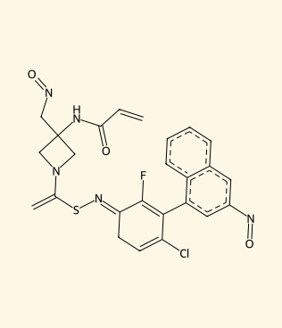 C=CC(=O)NC1(CN=O)CN(C(=C)S/N=C2\CC=C(Cl)C(c3cc(N=O)cc4ccccc34)=C2F)C1